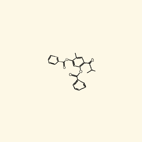 Cc1cc(C(=O)C(C)C)c(OC(=O)c2ccccc2)cc1OC(=O)c1ccccc1